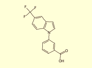 O=C(O)c1cccc(-n2ccc3cc(C(F)(F)F)ccc32)c1